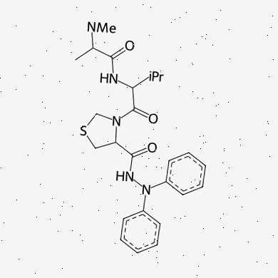 CNC(C)C(=O)NC(C(=O)N1CSCC1C(=O)NN(c1ccccc1)c1ccccc1)C(C)C